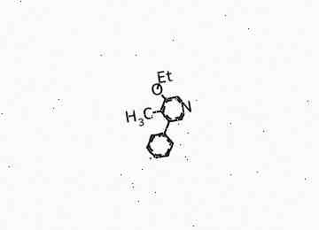 CCOc1cncc(-c2cc[c]cc2)c1C